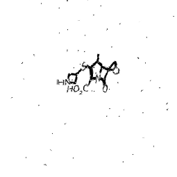 CC1C(SC2CNC2)=C(C(=O)O)N2C(=O)C3(CO3)C12